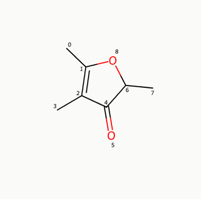 CC1=C(C)C(=O)C(C)O1